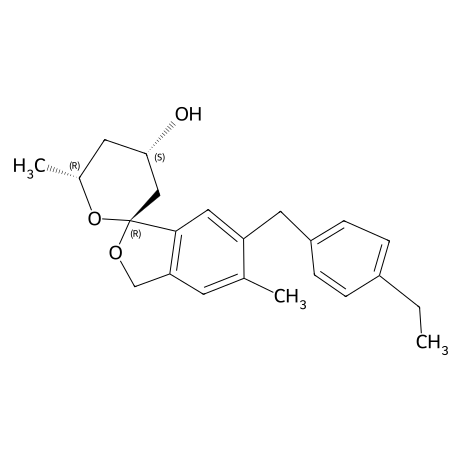 CCc1ccc(Cc2cc3c(cc2C)CO[C@@]32C[C@@H](O)C[C@@H](C)O2)cc1